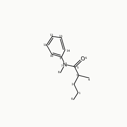 CCCC(C)C(=O)N(C)c1ccccc1